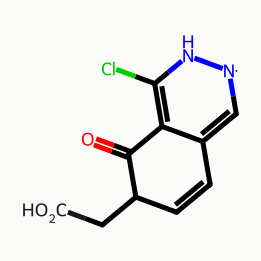 O=C(O)CC1C=CC2=C[N]NC(Cl)=C2C1=O